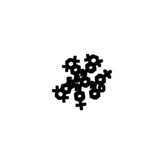 CC(C)(C)c1ccc(N2c3cc(N4c5ccccc5Oc5cc(C(C)(C)C)ccc54)cc4c3B(c3cc5c(cc3N4c3ccc4c(c3)C(C)(C)CCC4(C)C)C(C)(C)CCC5(C)C)c3sc4cc5c(cc4c32)C(C)(C)CCC5(C)C)cc1